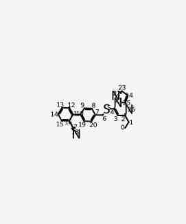 CCc1cc(SCc2ccc(-c3ccccc3C#N)cc2)n2nccc2n1